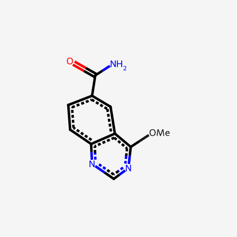 COc1ncnc2ccc(C(N)=O)cc12